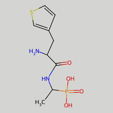 CC(NC(=O)C(N)Cc1ccsc1)P(=O)(O)O